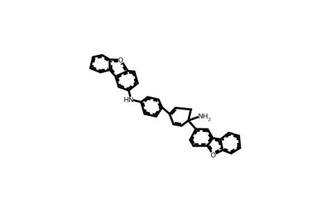 NC1(c2ccc3oc4ccccc4c3c2)C=CC(c2ccc(Nc3ccc4oc5ccccc5c4c3)cc2)=CC1